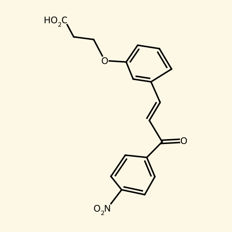 O=C(O)CCOc1cccc(/C=C/C(=O)c2ccc([N+](=O)[O-])cc2)c1